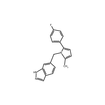 Cc1ccc(-c2ccc(F)cc2)n1Cc1ccc2cn[nH]c2c1